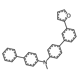 CN(c1ccc(-c2ccccc2)cc1)c1ccc(-c2cccc(-c3ccco3)c2)cc1